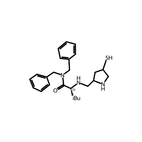 CCC(C)[C@H](NCC1CC(S)CN1)C(=O)N(Cc1ccccc1)Cc1ccccc1